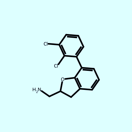 NCC1Cc2cccc(-c3cccc(Cl)c3Cl)c2O1